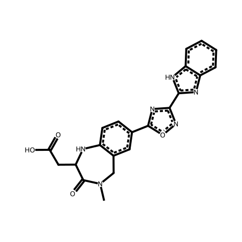 CN1Cc2cc(-c3nc(-c4nc5ccccc5[nH]4)no3)ccc2NC(CC(=O)O)C1=O